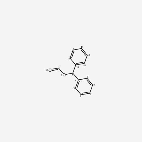 O=COC(c1ccccc1)c1ccccc1